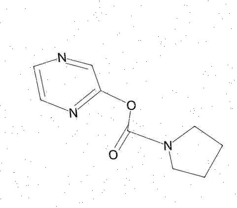 O=C(Oc1cnccn1)N1CCCC1